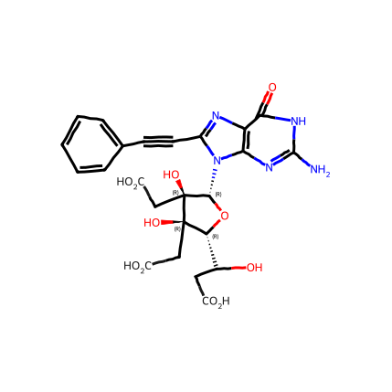 Nc1nc2c(nc(C#Cc3ccccc3)n2[C@@H]2O[C@H](C(O)CC(=O)O)[C@](O)(CC(=O)O)[C@]2(O)CC(=O)O)c(=O)[nH]1